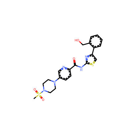 CS(=O)(=O)N1CCN(c2ccc(C(=O)Nc3nc(-c4ccccc4CO)cs3)nc2)CC1